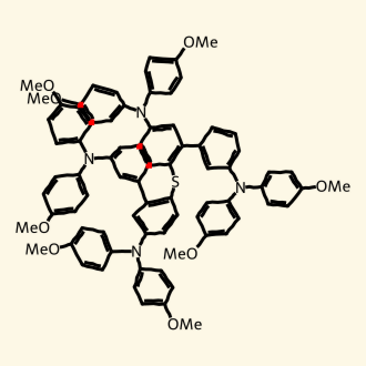 COc1ccc(N(c2ccc(OC)cc2)c2cccc(-c3cc(N(c4ccc(OC)cc4)c4ccc(OC)cc4)ccc3Sc3ccc(N(c4ccc(OC)cc4)c4ccc(OC)cc4)cc3-c3cccc(N(c4ccc(OC)cc4)c4ccc(OC)cc4)c3)c2)cc1